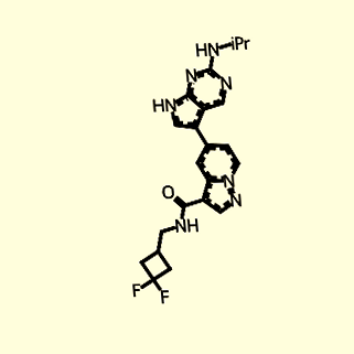 CC(C)Nc1ncc2c(-c3ccn4ncc(C(=O)NCC5CC(F)(F)C5)c4c3)c[nH]c2n1